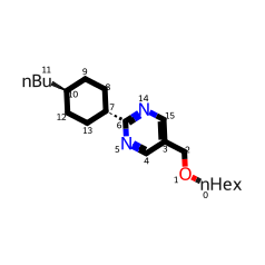 CCCCCCOCc1cnc([C@H]2CC[C@H](CCCC)CC2)nc1